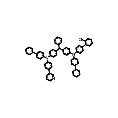 Clc1ccccc1-c1ccc(N(c2ccc(-c3ccccc3)cc2)c2ccc(C(c3ccccc3)c3ccc(N(c4ccc(-c5ccccc5)cc4)c4ccc(-c5cccnc5)cc4)cc3)cc2)cc1